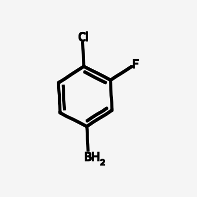 Bc1ccc(Cl)c(F)c1